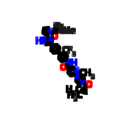 CN[C@H](C(=O)N1CCC[C@H]1c1nc(-c2ccc(-c3ccc(NC(=O)c4ccc(N5CCN(C(=O)[C@H]6CC6(C)C)C[C@H]5C)nc4)cc3C(F)(F)F)cc2)c[nH]1)C(C)C